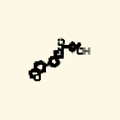 CC1(O)CC(C(=O)N2CC3(CC[C@@H](c4ccc5c(c4)OCC5)C3)C2)C1